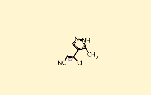 Cc1[nH]ncc1/C(Cl)=C/C#N